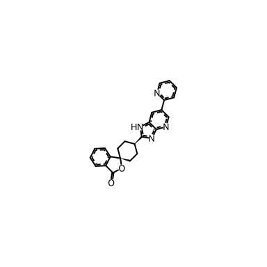 O=C1O[C@]2(CC[C@H](c3nc4ncc(-c5ccccn5)cc4[nH]3)CC2)c2ccccc21